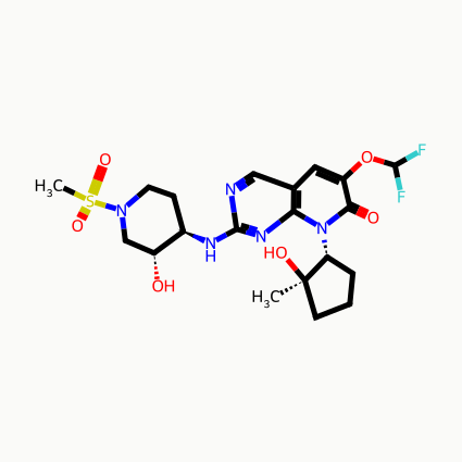 C[C@@]1(O)CCC[C@H]1n1c(=O)c(OC(F)F)cc2cnc(N[C@@H]3CCN(S(C)(=O)=O)C[C@H]3O)nc21